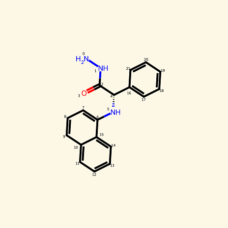 NNC(=O)[C@@H](Nc1cccc2ccccc12)c1ccccc1